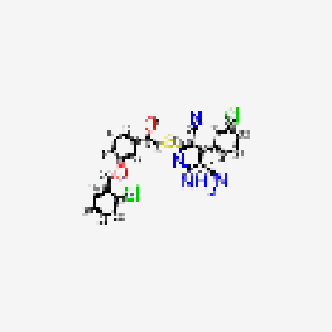 N#Cc1c(N)nc(SCC(=O)c2cccc(OCc3ccccc3Cl)c2)c(C#N)c1-c1cccc(Cl)c1